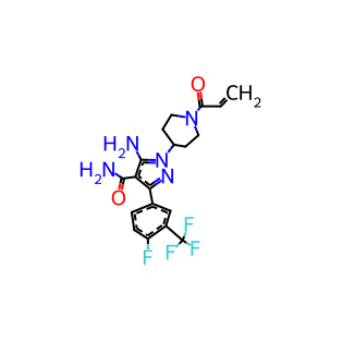 C=CC(=O)N1CCC(n2nc(-c3ccc(F)c(C(F)(F)F)c3)c(C(N)=O)c2N)CC1